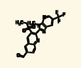 CCS(=O)(=O)c1cc2cc(C=O)ccc2nc1-c1nc2cc(C(F)(F)F)cnc2n1C